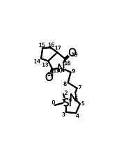 C[Si]1(C)CCCN1CCCN1C(=O)C2CCCC2C1=O